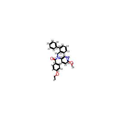 CCOc1ccc(C(=O)N(Cc2ccccc2-c2ccccc2)c2ccc(OC)nc2)cc1